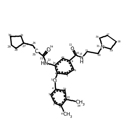 Cc1ccc(Oc2ccc(C(=O)NCCN3CCCC3)cc2NC(=O)CCC2CCCC2)cc1C